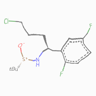 CC(C)(C)[S@+]([O-])N[C@@H](CCCCl)c1cc(F)ccc1F